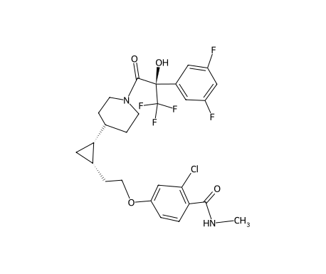 CNC(=O)c1ccc(OCC[C@@H]2C[C@@H]2C2CCN(C(=O)[C@](O)(c3cc(F)cc(F)c3)C(F)(F)F)CC2)cc1Cl